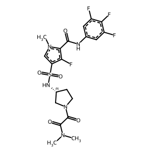 CN(C)C(=O)C(=O)N1CC[C@@H](NS(=O)(=O)c2cn(C)c(C(=O)Nc3cc(F)c(F)c(F)c3)c2F)C1